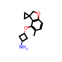 Cc1ccc2c(c1O[C@H]1C[C@H](N)C1)C1(CC1)CO2